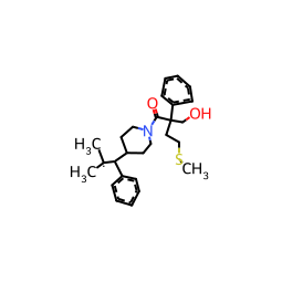 CSCCC(CO)(C(=O)N1CCC(C([C](C)C)c2ccccc2)CC1)c1ccccc1